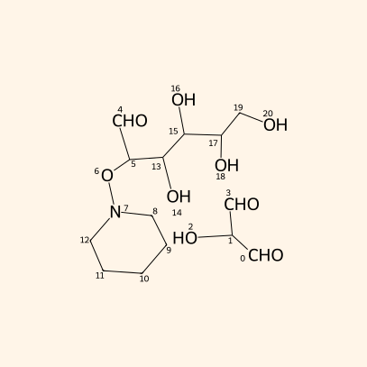 O=CC(O)C=O.O=CC(ON1CCCCC1)C(O)C(O)C(O)CO